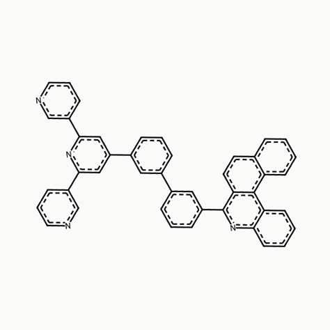 c1cc(-c2cccc(-c3nc4ccccc4c4c3ccc3ccccc34)c2)cc(-c2cc(-c3cccnc3)nc(-c3cccnc3)c2)c1